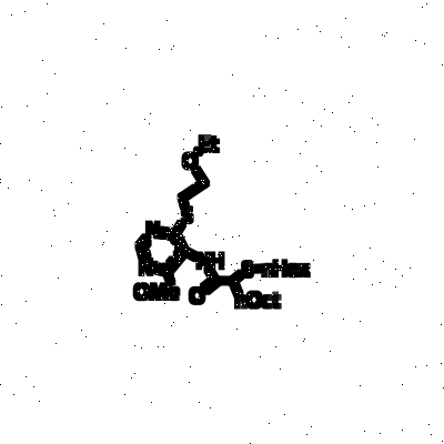 CCCCCCCCC(SCCCCCC)C(=O)Nc1c(OC)ncnc1SCCOCC